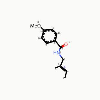 C/C=C(\C)CNC(=O)c1ccc(OC)cc1